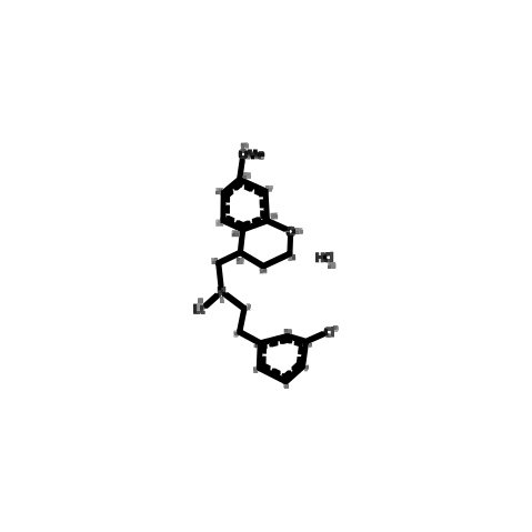 CCN(CCc1cccc(Cl)c1)CC1CCOc2cc(OC)ccc21.Cl